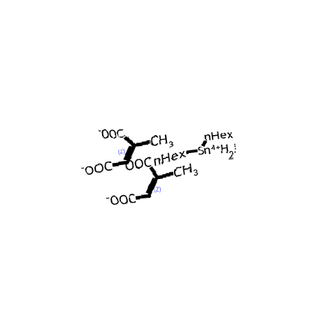 C/C(=C/C(=O)[O-])C(=O)[O-].C/C(=C/C(=O)[O-])C(=O)[O-].CCCCC[CH2][SnH2+4][CH2]CCCCC